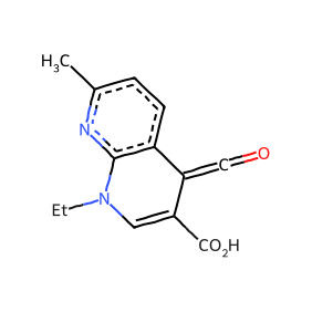 CCN1C=C(C(=O)O)C(=C=O)c2ccc(C)nc21